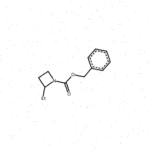 CCC1CCN1C(=O)OCc1ccccc1